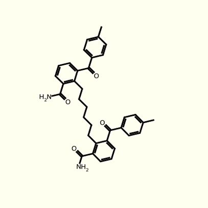 Cc1ccc(C(=O)c2cccc(C(N)=O)c2CCCCCCc2c(C(N)=O)cccc2C(=O)c2ccc(C)cc2)cc1